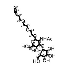 CC(=O)NC1C(O[C@@H]2OC(CO)[C@H](O)C(O)C2O)[C@@H](O)C(CO)O[C@H]1OCCOCCOCCN=[N+]=[N-]